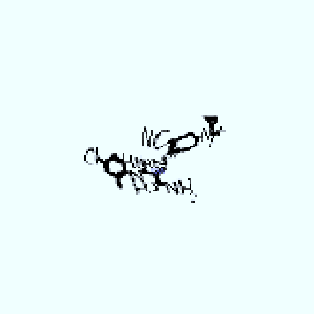 Cc1cc(Cl)ccc1NC(=N)/C(=C\N[C@H]1CC[C@@H](N2C(F)(F)C23CC3)CC1C#N)C(N)=O